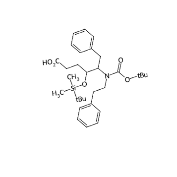 CC(C)(C)OC(=O)N(CCc1ccccc1)C(Cc1ccccc1)C(CCC(=O)O)O[Si](C)(C)C(C)(C)C